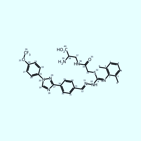 Cc1cccc(C)c1/N=C(/N/N=C/c1ccc(-c2ncn(-c3ccc(OC(F)(F)F)cc3)n2)cc1)SCC(=O)NCC(N)C(=O)O